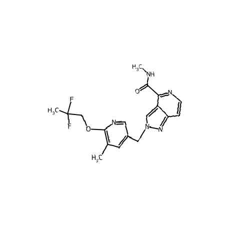 CNC(=O)c1nccc2nn(Cc3cnc(OCC(C)(F)F)c(C)c3)cc12